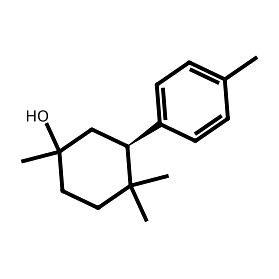 Cc1ccc([C@@H]2CC(C)(O)CCC2(C)C)cc1